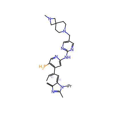 C=c1nc(C)n(C(C)C)/c1=C/C(=C\C)c1cc(Nc2ncc(CN3CCC4(CC3)CN(C)C4)cn2)ncc1P